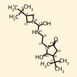 CC(C)(C)C1CN(C(O)NCCN2C(=O)CC(C(C)(C)C)C2O)C1